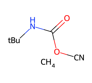 C.CC(C)(C)NC(=O)OC#N